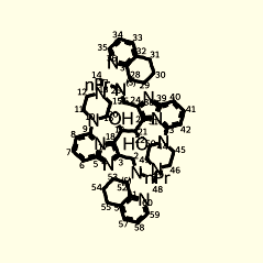 CCCN(Cc1nc2cccc(N3CCN(C)CC3)n2c1C(O)C(O)c1c(CN(CCC)[C@H]2CCCc3cccnc32)nc2cccc(N3CCN(C)CC3)n12)[C@H]1CCCc2cccnc21